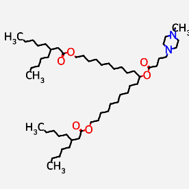 CCCCCC(CCCCC)CC(=O)OCCCCCCCCCCC(CCCCCCCCCCOC(=O)CC(CCCCC)CCCCC)OC(=O)CCCN1CCN(C)CC1